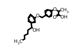 CCCCCC(O)c1cccc(OCc2ccc(OC(C)C(=O)O)cc2)c1